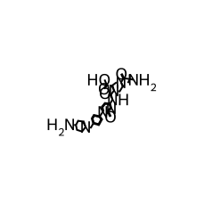 CC(C)(N)C(=O)N1CCN(C(=O)Nc2ccn(-c3ccc(CN4CCC(N)CC4)cc3)c(=O)n2)[C@H](C(=O)O)C1